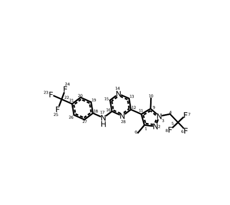 Cc1nn(CC(F)(F)F)c(C)c1-c1cncc(Nc2ccc(C(F)(F)F)cc2)n1